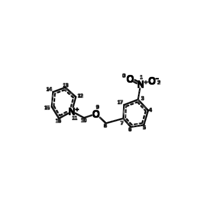 O=[N+]([O-])c1cccc(COC[n+]2ccccc2)c1